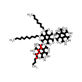 CCCCCCCCCCOC(=O)c1c(C(=O)OCCCCCCCC)c(C(=O)O)c(C(=O)OC(=O)c2c(C(=O)O)c(C(=O)O)c(C(=O)O)c(C(=O)O)c2C(=O)O)c(C(=O)OC(=O)c2c(C(=O)O)c(C(=O)O)c(C(=O)O)c(C(=O)O)c2C(=O)O)c1C(=O)OCCCCCCCCCC